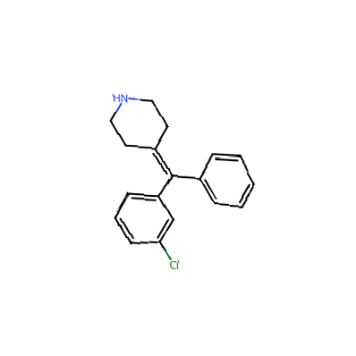 Clc1cccc(C(=C2CCNCC2)c2ccccc2)c1